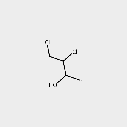 [CH2]C(O)C(Cl)CCl